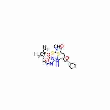 CN1C(=O)/C(=C/c2oc(-c3ccccc3)cc2CNC(=N)NC(=O)OC(C)(C)C)SC1=S